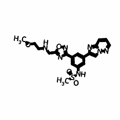 COCCNCc1nc(-c2cc(NS(C)(=O)=O)cc(-c3cn4ncccc4n3)c2)no1